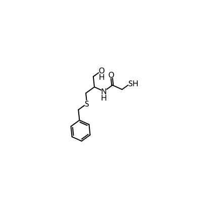 O=C(CS)NC(CO)CSCc1ccccc1